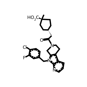 C[C@]1(C(=O)O)CC[C@H](CC(=O)N2CCc3c(n(Cc4ccc(Cl)c(F)c4)c4ncccc34)C2)CC1